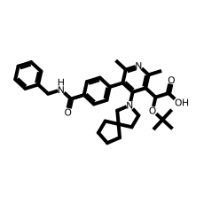 Cc1nc(C)c(C(OC(C)(C)C)C(=O)O)c(N2CCC3(CCCC3)C2)c1-c1ccc(C(=O)NCc2ccccc2)cc1